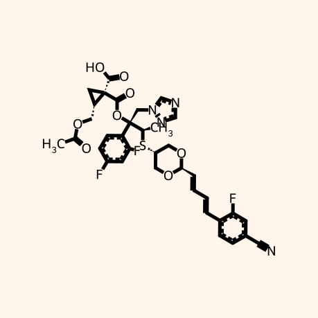 CC(=O)OC[C@@H]1C[C@@]1(C(=O)O)C(=O)O[C@@](Cn1cncn1)(c1ccc(F)cc1F)[C@@H](C)S[C@H]1CO[C@H](/C=C/C=C/c2ccc(C#N)cc2F)OC1